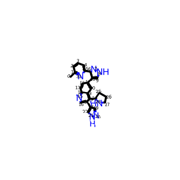 Cc1cccc(-c2n[nH]cc2-c2ccc3ncc(-c4cn[nH]c4)c(C4CCCN4)c3c2)n1